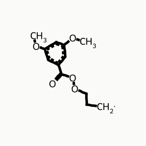 [CH2]CCOOC(=O)c1cc(OC)cc(OC)c1